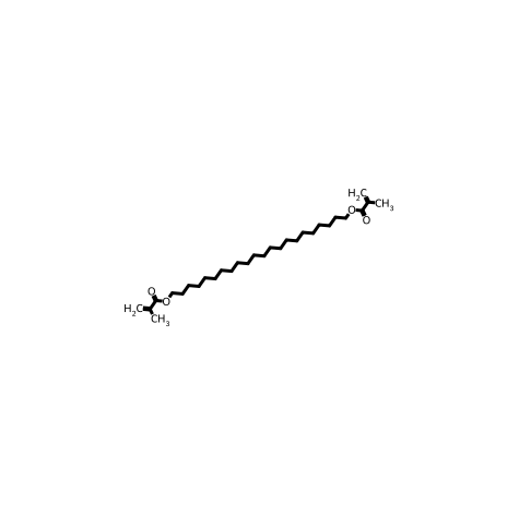 C=C(C)C(=O)OCCCCCCCCCCCCCCCCCCCCCCOC(=O)C(=C)C